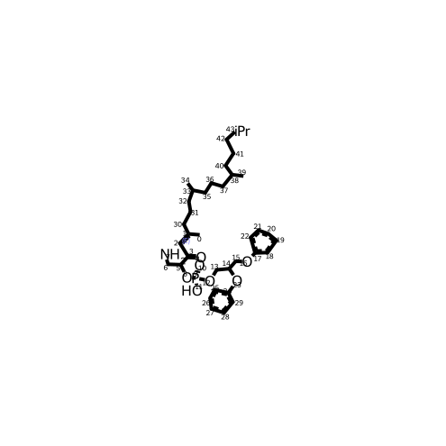 C/C(=C\C(=O)C(CN)OP(=O)(O)OCC(COc1ccccc1)Oc1ccccc1)CCCC(C)CCCC(C)CCCC(C)C